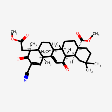 COC(=O)C[C@]1(C)C(=O)C(C#N)=C[C@]2(C)C3=CC(=O)[C@@H]4[C@@H]5CC(C)(C)CC[C@]5(C(=O)OC)CC[C@@]4(C)[C@]3(C)CCC21